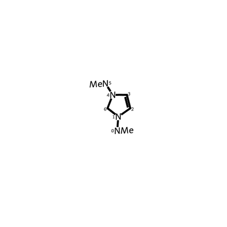 CNN1C=CN(NC)C1